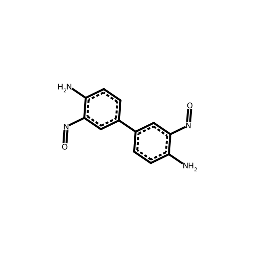 Nc1ccc(-c2ccc(N)c(N=O)c2)cc1N=O